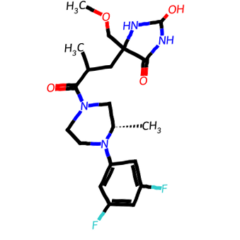 COCC1(CC(C)C(=O)N2CCN(c3cc(F)cc(F)c3)[C@@H](C)C2)NC(O)NC1=O